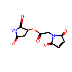 O=C1CC(OC(=O)CN2C(=O)C=CC2=O)C(=O)N1